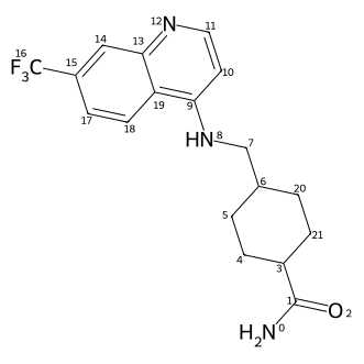 NC(=O)C1CCC(CNc2ccnc3cc(C(F)(F)F)ccc23)CC1